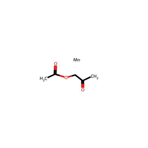 CC(=O)COC(C)=O.[Mn]